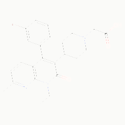 CCn1c(=O)c(C2CCN(CC(=O)O)CC2)c(-c2cccc(Br)c2)c2ccc(C)nc21